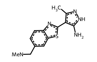 CNCc1ccc2nc(-c3c(C)n[nH]c3N)sc2c1